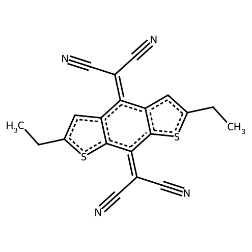 CCc1cc2c(=C(C#N)C#N)c3cc(CC)sc3c(=C(C#N)C#N)c2s1